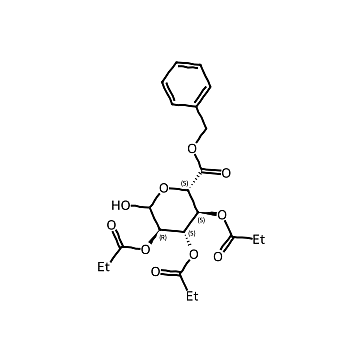 CCC(=O)O[C@H]1[C@H](OC(=O)CC)[C@@H](OC(=O)CC)C(O)O[C@@H]1C(=O)OCc1ccccc1